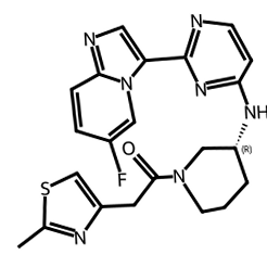 Cc1nc(CC(=O)N2CCC[C@@H](Nc3ccnc(-c4cnc5ccc(F)cn45)n3)C2)cs1